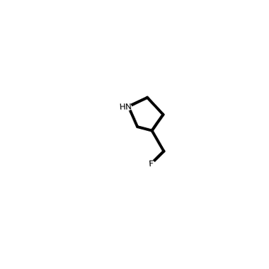 FCC1CCNC1